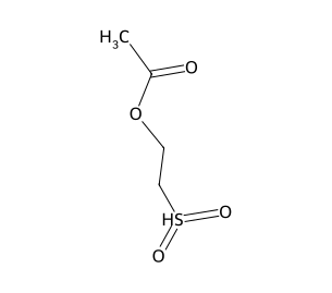 CC(=O)OCC[SH](=O)=O